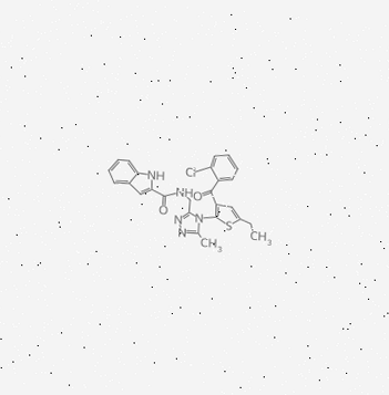 CCc1cc(C(=O)c2ccccc2Cl)c(-n2c(C)nnc2CNC(=O)c2cc3ccccc3[nH]2)s1